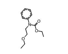 CCOCCN(C(=O)OCC)c1ccccc1